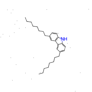 CCCCCCCCc1c[c]c2[nH]c3ccc(CCCCCCCC)cc3c2c1